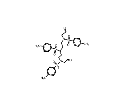 Cc1ccc(S(=O)(=O)N(CC=O)CCN(CCN(CC=O)S(=O)(=O)c2ccc(C)cc2)S(=O)(=O)c2ccc(C)cc2)cc1